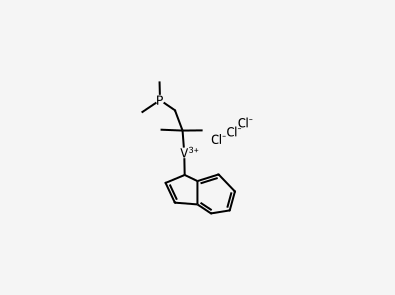 CP(C)C[C](C)(C)[V+3][CH]1C=Cc2ccccc21.[Cl-].[Cl-].[Cl-]